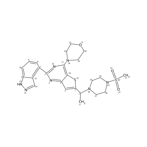 CC(c1cc2nc(-c3cccc4[nH]ncc34)nc(N3CCOCC3)c2s1)N1CCN(S(C)(=O)=O)CC1